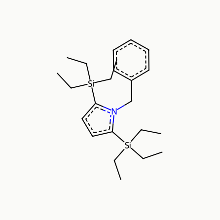 CC[Si](CC)(CC)c1ccc([Si](CC)(CC)CC)n1Cc1ccccc1